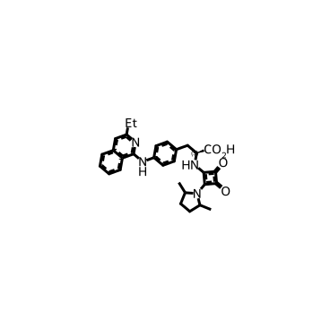 CCc1cc2ccccc2c(Nc2ccc(C[C@H](Nc3c(N4C(C)CCC4C)c(=O)c3=O)C(=O)O)cc2)n1